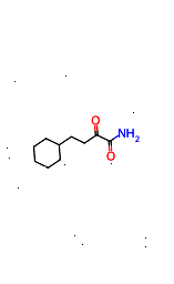 NC(=O)C(=O)CCC1CCCCC1